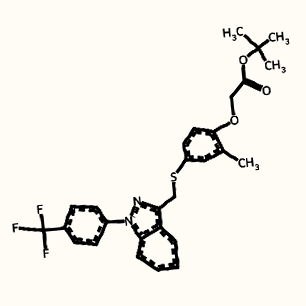 Cc1cc(SCc2nn(-c3ccc(C(F)(F)F)cc3)c3ccccc23)ccc1OCC(=O)OC(C)(C)C